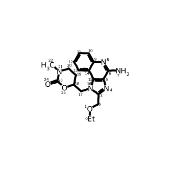 CCOCc1nc2c(N)nc3ccccc3c2n1CC1CCN(C)C(=O)O1